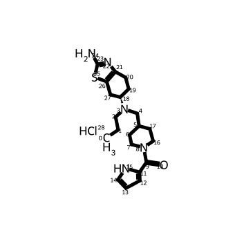 CCCN(CC1CCN(C(=O)c2ccc[nH]2)CC1)[C@H]1CCc2nc(N)sc2C1.Cl